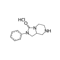 Cl.O=C1N(c2ccccc2)CC2CNCCN12